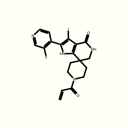 C=CC(=O)N1CCC2(CC1)CNC(=O)c1c2[nH]c(-c2ccncc2F)c1I